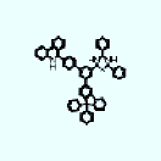 C1=CC2=c3ccccc3=C(c3ccc(-c4cc(-c5ccc6c(c5)-c5ccccc5C6(c5ccccc5)c5ccccc5)cc(C5N=C(c6ccccc6)NC(c6ccccc6)N5)c4)cc3)NC2C=C1